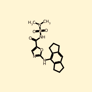 CN(C)S(=O)(=O)NC(=O)c1cnc(Nc2c3c(cc4c2CCC4)CCC3)o1